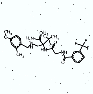 COc1ccc(CNCC(NC(=O)CNC(=O)c2cccc(C(F)(F)F)c2)(C(N)=O)C(C)(C)C)c(C)c1